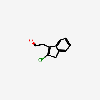 O=CCC1=C(Cl)Cc2ccccc21